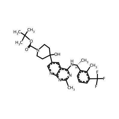 Cc1nc(N[C@H](C)c2cccc(C(F)(F)F)c2C)c2cc(C3(O)CCN(C(=O)OC(C)(C)C)CC3)cnc2n1